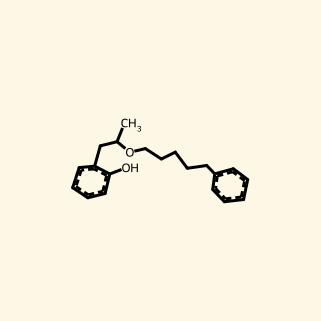 CC(Cc1ccccc1O)OCCCCCc1ccccc1